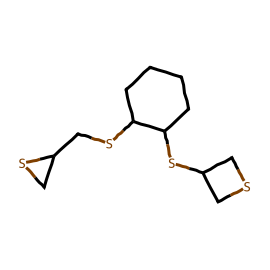 C1CCC(SC2CSC2)C(SCC2CS2)C1